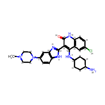 CN1CCN(c2ccc3[nH]c(-c4c(NC5CCC(N)CC5)c5cc(Cl)ccc5[nH]c4=O)nc3c2)CC1